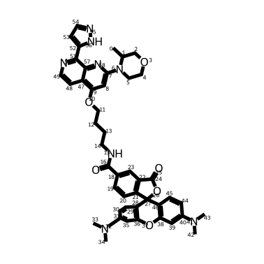 CC1COCCN1c1cc(OCCCCNC(=O)c2ccc3c(c2)C(=O)OC32c3ccc(N(C)C)cc3Oc3cc(N(C)C)ccc32)c2ccnc(-c3ccn[nH]3)c2n1